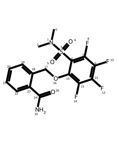 CN(C)S(=O)(=O)c1c(F)c(F)c(F)c(F)c1OCc1ccccc1C(N)=O